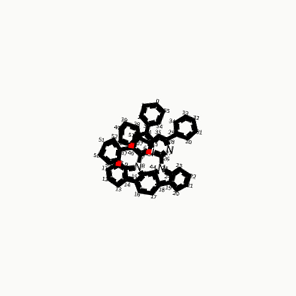 c1ccc(-c2ccc(-n3c4ccccc4c4ccc5c6ccccc6n(-c6nc(-c7ccccc7)cc(-c7ccccc7)n6)c5c43)c(-c3ccccc3)c2)cc1